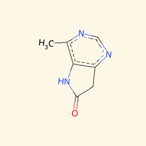 Cc1ncnc2c1NC(=O)C2